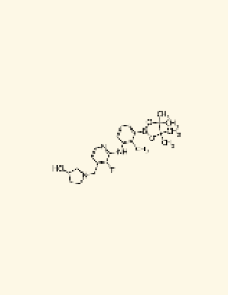 Cc1c(Nc2nccc(CN3CC[C@@H](O)C3)c2F)cccc1B1OC(C)(C)C(C)(C)O1